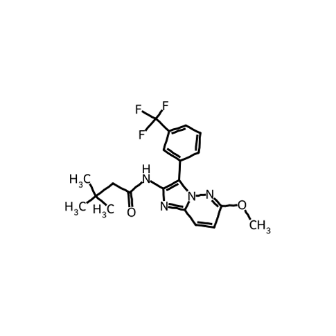 COc1ccc2nc(NC(=O)CC(C)(C)C)c(-c3cccc(C(F)(F)F)c3)n2n1